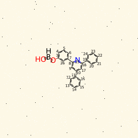 OBOc1cccc(-c2cc(-c3ccccc3)cc(-c3ccccc3)n2)c1